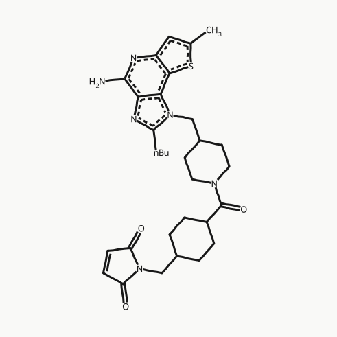 CCCCc1nc2c(N)nc3cc(C)sc3c2n1CC1CCN(C(=O)C2CCC(CN3C(=O)C=CC3=O)CC2)CC1